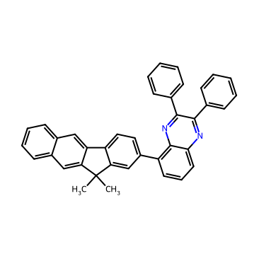 CC1(C)c2cc(-c3cccc4nc(-c5ccccc5)c(-c5ccccc5)nc34)ccc2-c2cc3ccccc3cc21